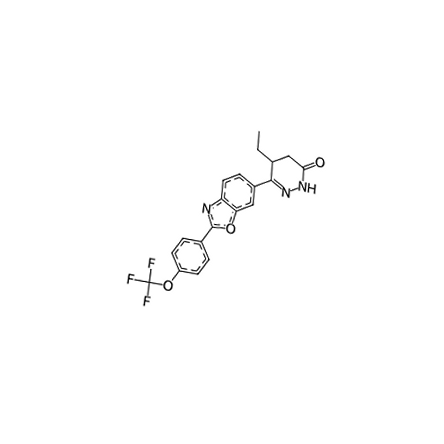 CCC1CC(=O)NN=C1c1ccc2nc(-c3ccc(OC(F)(F)F)cc3)oc2c1